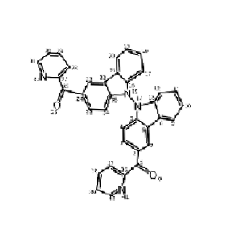 O=C(c1ccc2c(c1)c1ccccc1n2-n1c2ccccc2c2cc(C(=O)c3ccccn3)ccc21)c1ccccn1